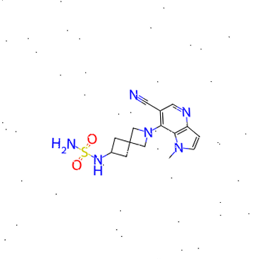 Cn1ccc2ncc(C#N)c(N3CC4(CC(NS(N)(=O)=O)C4)C3)c21